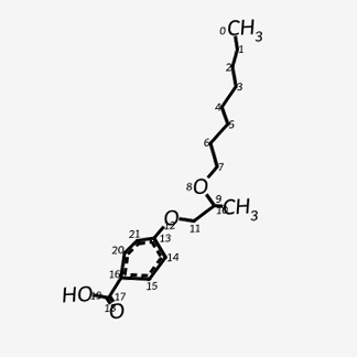 CCCCCCCCOC(C)COc1ccc(C(=O)O)cc1